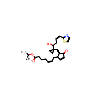 CC(C)OC(=O)CCC/C=C\CC1C=CC(=O)/C1=C/C1(C(O)C/C=C\c2nccs2)CC1